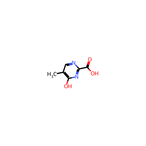 Cc1cnc(C(=O)O)nc1O